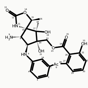 CC(=O)c1cccc(N[C@H]2[C@H](N)[C@]3(NC(=O)O[C@H]3C)[C@@](C)(O)[C@@]2(O)COC(=O)c2c(C)cccc2O)c1